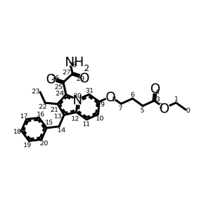 CCOC(=O)CCCOc1ccc2c(Cc3ccccc3)c(CC)c(C(=O)C(N)=O)n2c1